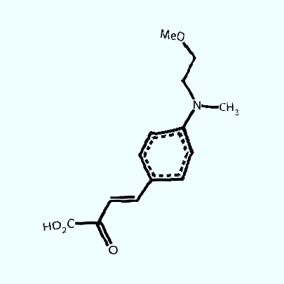 COCCN(C)c1ccc(/C=C/C(=O)C(=O)O)cc1